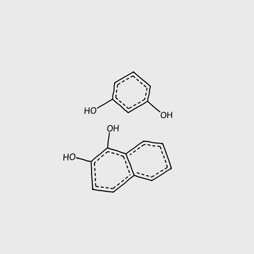 Oc1ccc2ccccc2c1O.Oc1cccc(O)c1